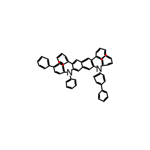 c1ccc(-c2ccc(N(c3ccccc3)c3cc4cc(N(c5ccccc5)c5ccc(-c6ccccc6)cc5)c(-c5ccccc5)cc4cc3-c3ccccc3)cc2)cc1